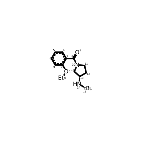 CCOc1ccccc1C(=O)N1CC[C@@H](NC(C)(C)C)C1